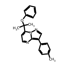 Cc1ccc(-c2cnn3c(C(C)(C)Oc4ccccc4)ccnc23)cc1